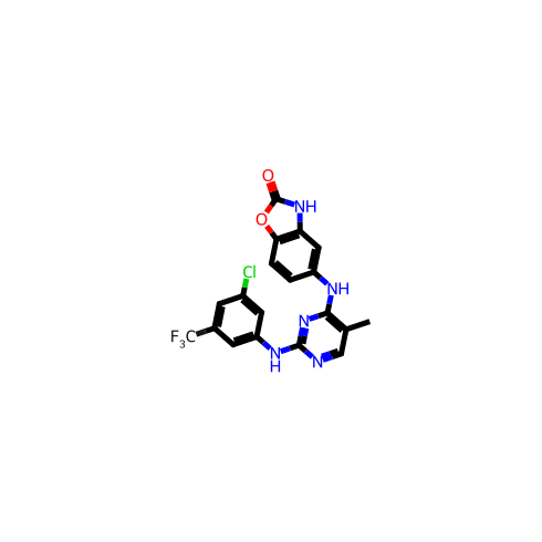 Cc1cnc(Nc2cc(Cl)cc(C(F)(F)F)c2)nc1Nc1ccc2oc(=O)[nH]c2c1